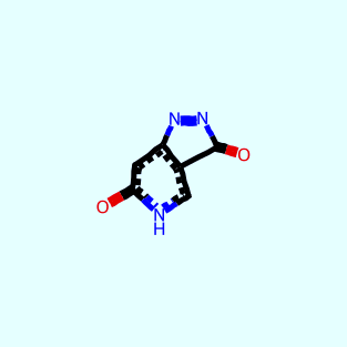 O=C1N=Nc2cc(=O)[nH]cc21